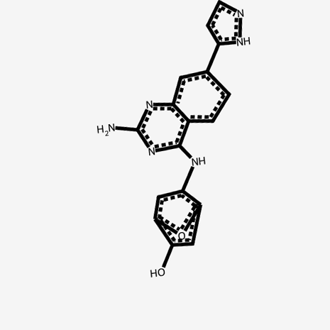 Nc1nc(Nc2cc3oc2cc3O)c2ccc(-c3ccn[nH]3)cc2n1